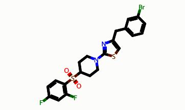 O=S(=O)(c1ccc(F)cc1F)C1CCN(c2nc(Cc3cccc(Br)c3)cs2)CC1